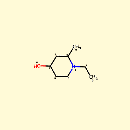 CCN1CCC(O)CC1C